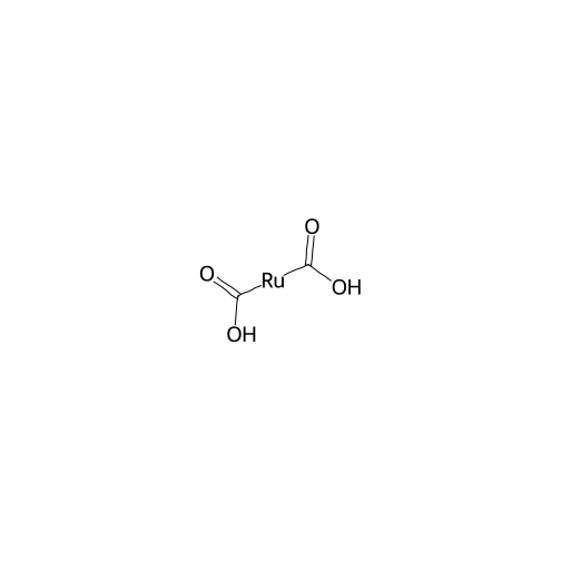 O=[C](O)[Ru][C](=O)O